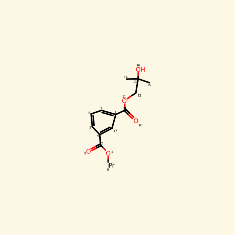 CC(C)OC(=O)c1cccc(C(=O)OCC(C)(C)O)c1